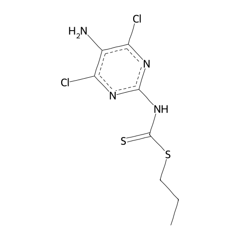 CCCSC(=S)Nc1nc(Cl)c(N)c(Cl)n1